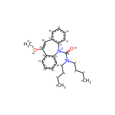 CCCCN(CCCC)C(=O)N1c2ccccc2C=C(OC)c2ccccc21